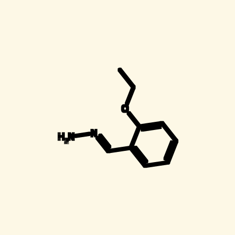 CCOc1ccccc1C=NN